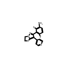 Nc1ccc(F)c(-c2nn3c(c2-c2ccncc2)SCC3)c1F